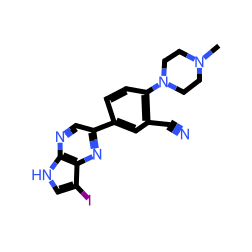 CN1CCN(c2ccc(-c3cnc4[nH]cc(I)c4n3)cc2C#N)CC1